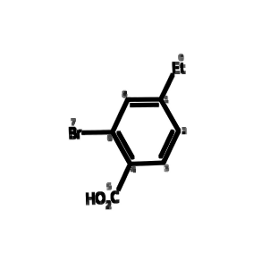 CCc1ccc(C(=O)O)c(Br)c1